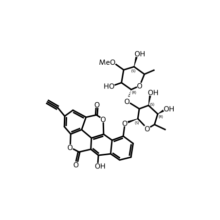 C#Cc1cc2oc(=O)c3c(O)c4cccc(O[C@@H]5OC(C)[C@H](O)[C@H](O)C5O[C@H]5OC(C)[C@H](O)C(OC)C5O)c4c4oc(=O)c(c1)c2c34